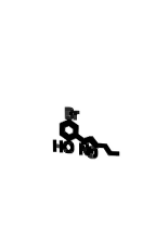 CCCc1cc(-c2cc(Br)ccc2O)no1